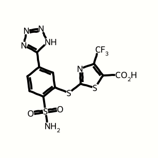 NS(=O)(=O)c1ccc(-c2nnn[nH]2)cc1Sc1nc(C(F)(F)F)c(C(=O)O)s1